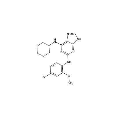 COc1cc(Br)ccc1Nc1nc(NC2CCCCC2)c2nc[nH]c2n1